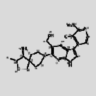 CNc1nccc(-c2n[nH]c3nc(N4CCC5(CC4)CO[C@@H](I)[C@H]5N)c(CO)nc23)c1Cl